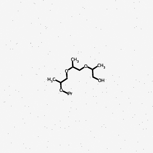 CC(C)OC(C)COC(C)COC(C)CO